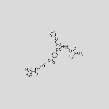 C=C(C)C(=O)OCCNC(=O)OC(COc1ccccc1)COc1ccc(C(=O)OCCOCCOC(=O)C(=C)C)cc1